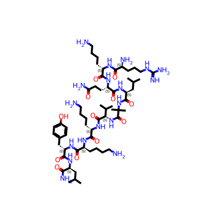 CC(C)C[C@H](NC(=O)[C@H](Cc1ccc(O)cc1)NC(=O)[C@H](CCCCN)NC(=O)[C@H](CCCCN)NC(=O)[C@@H](NC(=O)C(C)(C)NC(=O)[C@H](CC(C)C)NC(=O)[C@H](CCC(N)=O)NC(=O)[C@H](CCCCN)NC(=O)[C@@H](N)CCCNC(=N)N)C(C)C)C(N)=O